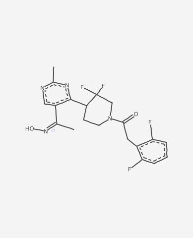 C/C(=N/O)c1cnc(C)nc1C1CCN(C(=O)Cc2c(F)cccc2F)CC1(F)F